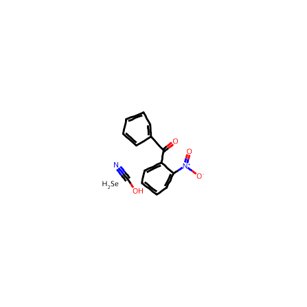 N#CO.O=C(c1ccccc1)c1ccccc1[N+](=O)[O-].[SeH2]